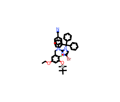 CCOc1cc(CN(c2ccc(C#N)cc2)c2nc(Br)cn2C(c2ccccc2)(c2ccccc2)c2ccccc2)c(F)c(O[Si](C)(C)C(C)(C)C)c1